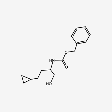 O=C(NC(CO)CCC1CC1)OCc1ccccc1